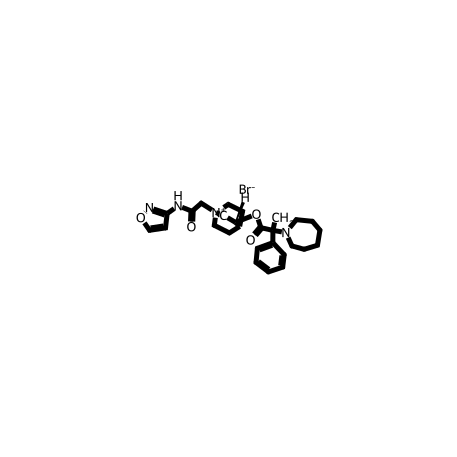 CC(C(=O)O[C@H]1C[N+]2(CC(=O)Nc3ccon3)CCC1CC2)(c1ccccc1)N1CCCCCC1.[Br-]